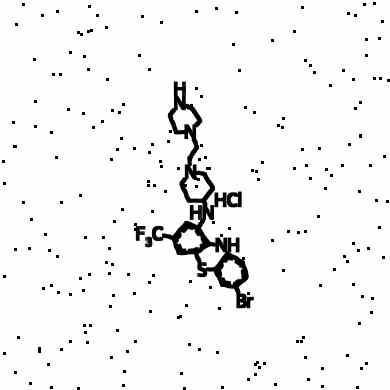 Cl.FC(F)(F)c1cc(NC2CCN(CCN3CCNCC3)CC2)c2c(c1)Sc1cc(Br)ccc1N2